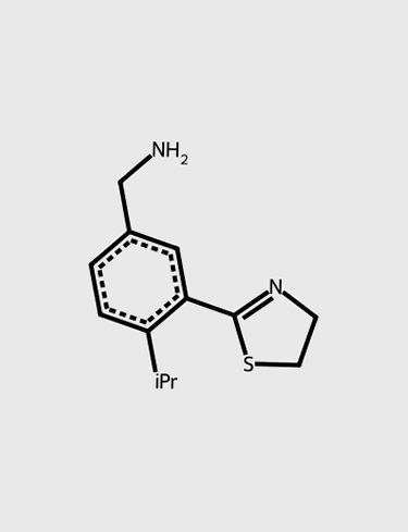 CC(C)c1ccc(CN)cc1C1=NCCS1